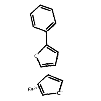 [Fe+2].c1cc[cH-]c1.c1ccc(-c2ccc[cH-]2)cc1